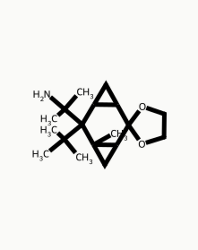 CC(C)(C)C1(C(C)(C)N)C2CC2C2(OCCO2)C2CC21C